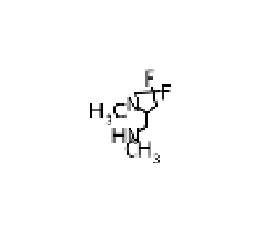 CNCC1CC(F)(F)CN1C